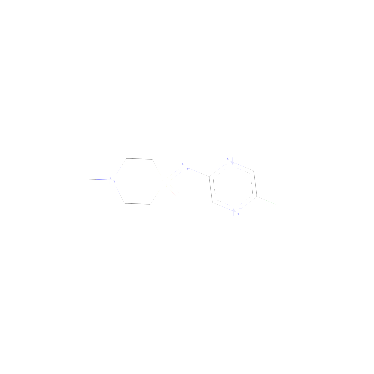 CN1CCS(=O)(=Nc2cnc(Cl)cn2)CC1